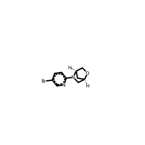 Brc1ccc(N2C[C@H]3C[C@@H]2CO3)nc1